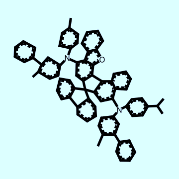 Cc1ccc(N(c2ccc(C)c(-c3ccccc3)c2)c2cc3c(c4oc5ccccc5c24)-c2c(cc(N(c4ccc(C(C)C)cc4)c4ccc(C)c(-c5ccccc5)c4)c4ccccc24)C32c3ccccc3-c3ccccc32)cc1